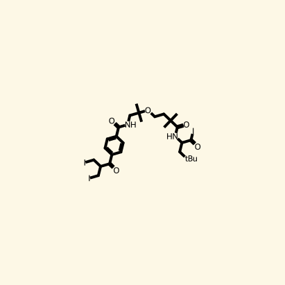 CC(C)(C)CC(NC(=O)C(C)(C)CCOC(C)(C)CNC(=O)c1ccc(C(=O)C(CI)CI)cc1)C(=O)I